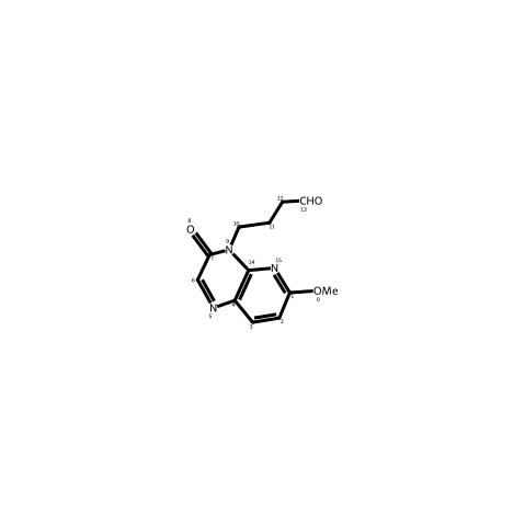 COc1ccc2ncc(=O)n(CCCC=O)c2n1